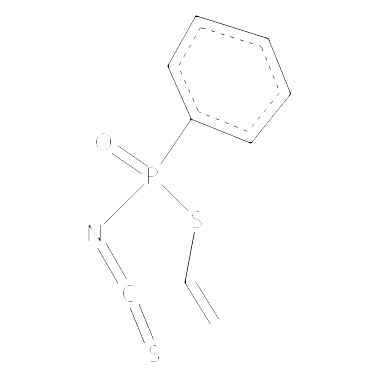 C=CSP(=O)(N=C=S)c1ccccc1